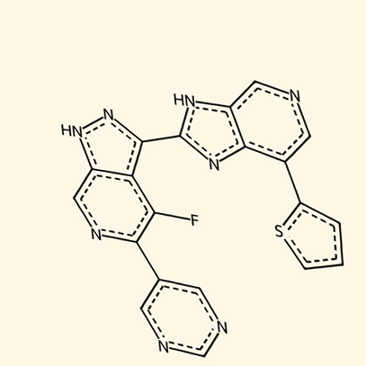 Fc1c(-c2cncnc2)ncc2[nH]nc(-c3nc4c(-c5cccs5)cncc4[nH]3)c12